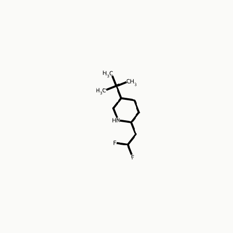 CC(C)(C)C1CCC(CC(F)F)NC1